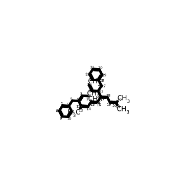 C=C(C)\C=C(Cc1ccccc1)/C(C)=C\C=C\C(=C/C=C(C)C)C(/C=C\C)Cc1ccccc1